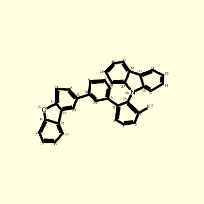 Fc1cccc(-c2cccc(-c3ccc4oc5ccccc5c4c3)c2)c1-n1c2ccccc2c2ccccc21